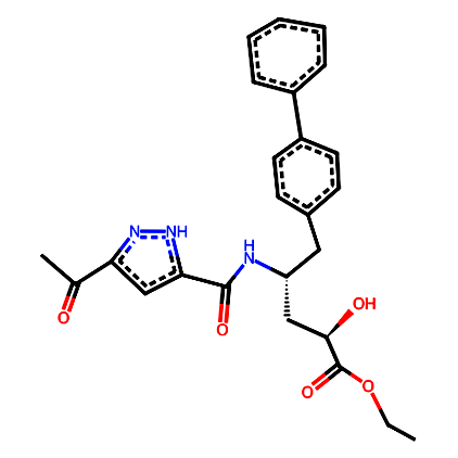 CCOC(=O)[C@H](O)C[C@@H](Cc1ccc(-c2ccccc2)cc1)NC(=O)c1cc(C(C)=O)n[nH]1